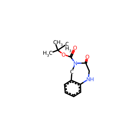 CC(C)(C)OC(=O)N1Cc2ccccc2NCC1=O